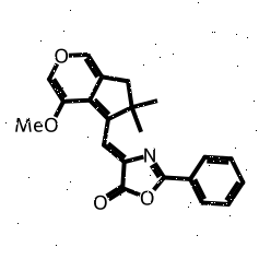 COC1=COC=C2CC(C)(C)C(C=C3N=C(c4ccccc4)OC3=O)=C21